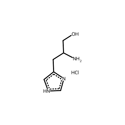 Cl.NC(CO)Cc1c[nH]cn1